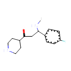 CCNC(CC(=O)C1CCNCC1)c1ccc(F)cc1